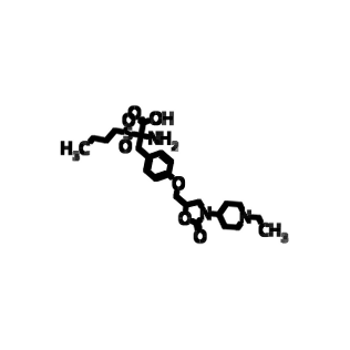 CCCCS(=O)(=O)C(N)(Cc1ccc(OCC2CN(C3CCN(CC)CC3)C(=O)O2)cc1)C(=O)O